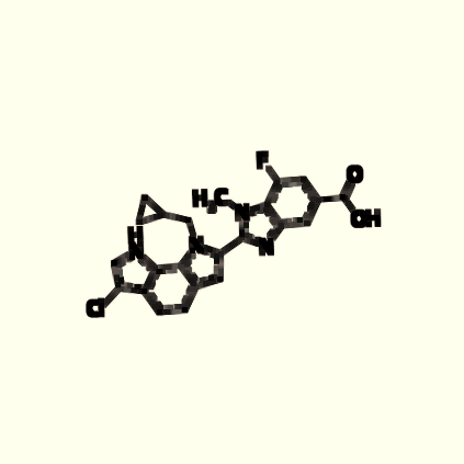 Cn1c(-c2cc3ccc4c(Cl)c[nH]c4c3n2CC2CC2)nc2cc(C(=O)O)cc(F)c21